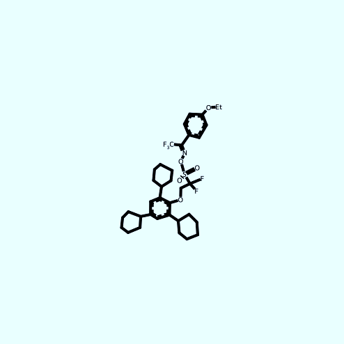 CCOc1ccc(/C(=N/OS(=O)(=O)C(F)(F)COc2c(C3CCCCC3)cc(C3CCCCC3)cc2C2CCCCC2)C(F)(F)F)cc1